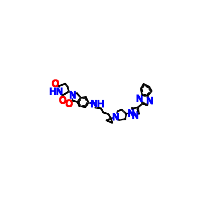 O=C1CCC(N2Cc3cc(NCCCCC4(N5CCC(n6cc(-c7cnc8ccccc8n7)cn6)CC5)CC4)ccc3C2=O)C(=O)N1